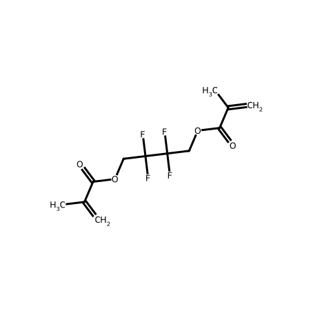 C=C(C)C(=O)OCC(F)(F)C(F)(F)COC(=O)C(=C)C